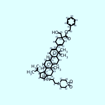 C=C(C)[C@@H]1CC[C@]2(NCCN3CCS(=O)(=O)CC3)CC[C@]3(C)[C@H](CC[C@@H]4[C@@]5(C)CC=C(C6=CCC(CO)(C(=O)OCc7ccccc7)CC6)C(C)(C)C5CC[C@]43C)[C@@H]12